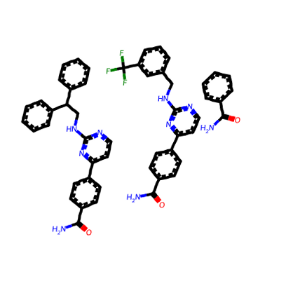 NC(=O)c1ccc(-c2ccnc(NCC(c3ccccc3)c3ccccc3)n2)cc1.NC(=O)c1ccc(-c2ccnc(NCc3cccc(C(F)(F)F)c3)n2)cc1.NC(=O)c1ccccc1